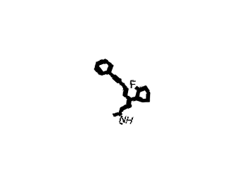 CNC(C)C/C=C(\C=C\C#Cc1ccccc1)c1ccccc1F